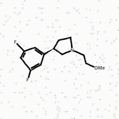 COCCN1CC[C@H](c2cc(F)cc(F)c2)C1